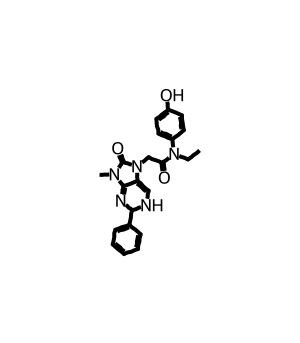 CCN(C(=O)Cn1c2c(n(C)c1=O)=NC(c1ccccc1)NC=2)c1ccc(O)cc1